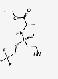 CCOC(=O)C(C)NP(=O)(CCNC)OCC(F)(F)F